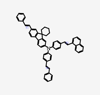 C(=C\c1ccc(N(c2ccc(/C=C/c3cccc4ccccc34)cc2)c2ccc3c(c2)C2(CCCCC2)c2cc(/C=C/c4ccccc4)ccc2-3)cc1)/c1ccccc1